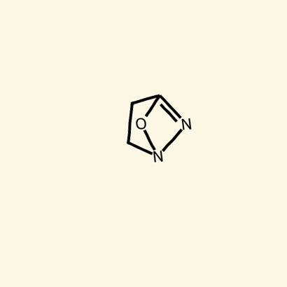 C1Cn2nc1o2